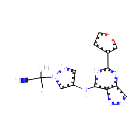 CC(C)(C#N)n1cc(Nc2nc(-c3ccoc3)nc3cn[nH]c23)cn1